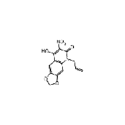 C=CCn1c(=O)c([N+](=O)[O-])c(O)c2cc3c(cc21)OCO3